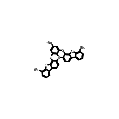 CC(C)(C)c1cc2c3c(c1)Sc1c(ccc4c1oc1c(C(C)(C)C)cccc14)B3c1ccc3c(oc4c(C(C)(C)C)cccc43)c1S2